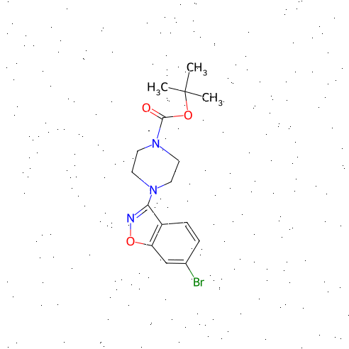 CC(C)(C)OC(=O)N1CCN(c2noc3cc(Br)ccc23)CC1